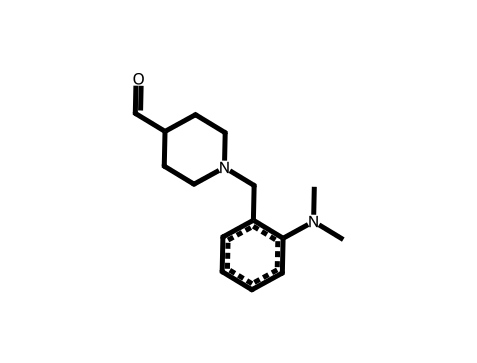 CN(C)c1ccccc1CN1CCC(C=O)CC1